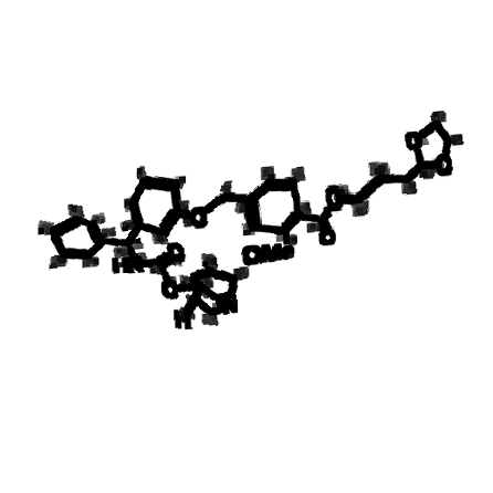 COc1cc(COc2cccc([C@@H](NC(=O)O[C@H]3CN4CCC3CC4)c3ccccc3)c2)ccc1C(=O)OCCCC1OCCO1